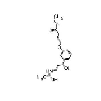 CCOC(=O)CCCOc1cccc(C(O)CCNB(C)O)c1